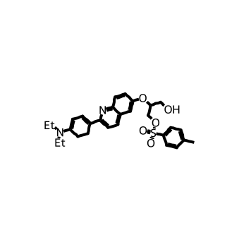 CCN(CC)C1=CC=C(c2ccc3cc(OC(CO)COS(=O)(=O)c4ccc(C)cc4)ccc3n2)CC1